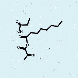 CCC(=O)O.CCCCCCCC(=O)OC(=O)C(C)=N